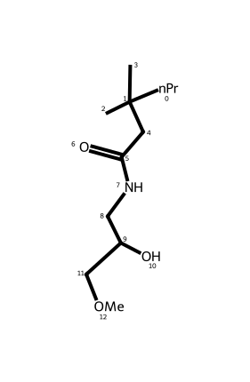 CCCC(C)(C)CC(=O)NCC(O)COC